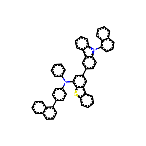 c1ccc(N(c2ccc(-c3cccc4ccccc34)cc2)c2cc(-c3ccc4c(c3)c3ccccc3n4-c3cccc4ccccc34)cc3c2sc2ccccc23)cc1